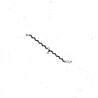 CC(C)CCCCCCCCCCOC(=O)CCCCCCCCC(=O)O